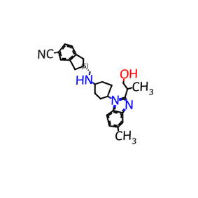 Cc1ccc2c(c1)nc(C(C)CO)n2C1CCC(NC[C@H]2Cc3ccc(C#N)cc3C2)CC1